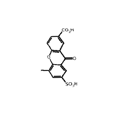 Cc1cc(S(=O)(=O)O)cc2c(=O)c3cc(C(=O)O)ccc3oc12